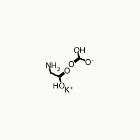 NCC(=O)O.O=C([O-])O.[K+]